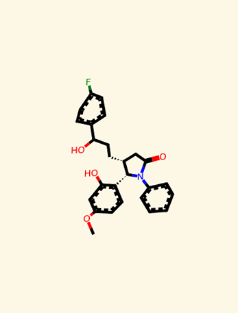 COc1ccc([C@@H]2[C@H](CCC(O)c3ccc(F)cc3)CC(=O)N2c2ccccc2)c(O)c1